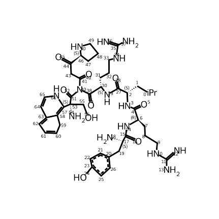 CC(C)C[C@H](NC(=O)[C@@H](CCCNC(=N)N)NC(=O)[C@@H](N)Cc1ccc(O)cc1)C(=O)N[C@@H](CCCNC(=N)N)C(=O)N(C(=O)CC(=O)[C@@H]1CCCN1)C(=O)[C@@](N)(CO)C1=C2CC=CC=C2C=CN1